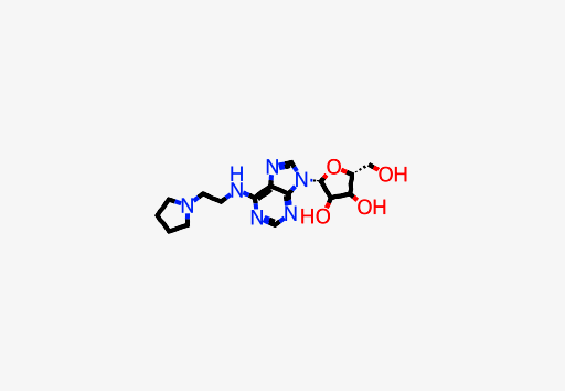 OC[C@H]1O[C@@H](n2cnc3c(NCCN4CCCC4)ncnc32)C(O)C1O